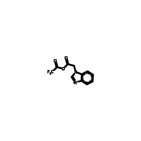 O=C(CN1C=[N+]c2ccccc21)OC(=O)C(F)(F)F